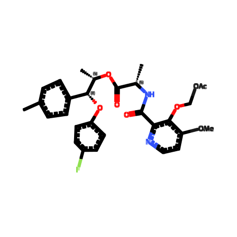 COc1ccnc(C(=O)N[C@@H](C)C(=O)O[C@@H](C)[C@H](Oc2ccc(F)cc2)c2ccc(C)cc2)c1OCOC(C)=O